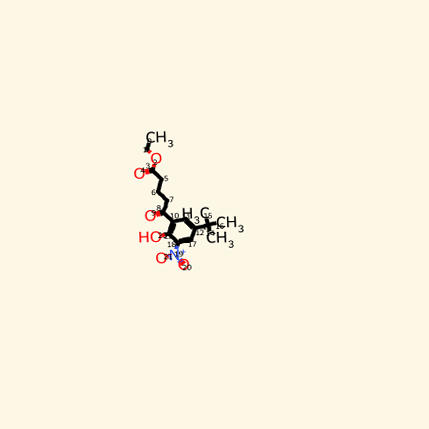 CCOC(=O)CCCC(=O)c1cc(C(C)(C)C)cc([N+](=O)[O-])c1O